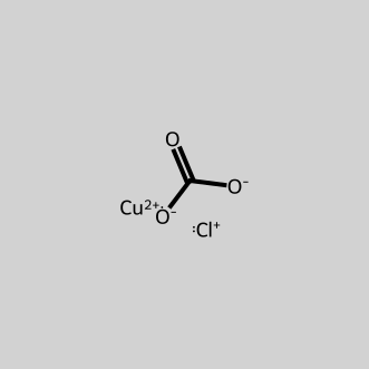 O=C([O-])[O-].[Cl+].[Cu+2]